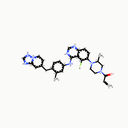 C=CC(=O)N1CCN(c2ccc3ncnc(Nc4ccc(Cc5ccn6ncnc6c5)c(C)c4)c3c2F)C(C)C1